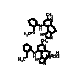 CSc1ccccc1Nc1cc(C)nc2ccc3nc[nH]c3c12.CSc1ccccc1Nc1cc(C)nc2ccc3nc[nH]c3c12.Cl.Cl.O